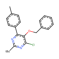 Cc1ccc(-c2nc(C(C)(C)C)nc(Cl)c2OCc2ccccc2)cc1